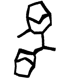 CC1C2CCC(C2)CC1C(C)C1CC2CCC1C2